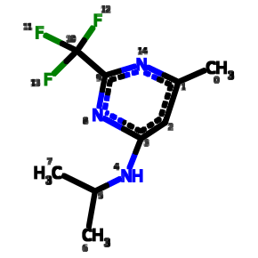 Cc1cc(NC(C)C)nc(C(F)(F)F)n1